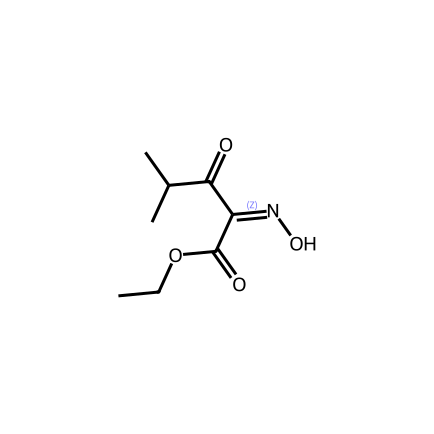 CCOC(=O)/C(=N\O)C(=O)C(C)C